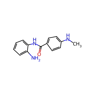 CNc1ccc(C(=O)Nc2ccccc2N)cc1